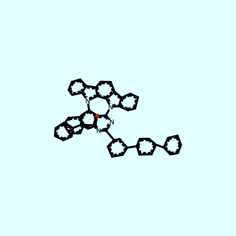 c1ccc(-c2ccc(-c3cccc(-c4nc(-c5ccccc5)nc(-n5c6ccccc6c6ccc7c8ccccc8n(-c8cccc(-c9ccccc9)c8)c7c65)n4)c3)cc2)cc1